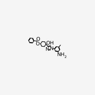 Cc1cc(N)cc(-n2cnc([C@]3(O)CC[C@H](OC(=O)c4ccccc4)CC3)c2)c1